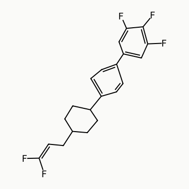 FC(F)=CCC1CCC(c2ccc(-c3cc(F)c(F)c(F)c3)cc2)CC1